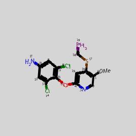 COc1cnc(Oc2c(Cl)cc(N)cc2Cl)cc1SCP